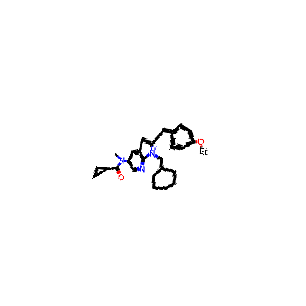 CCOc1ccc(CC2Cc3cc(N(C)C(=O)C4CC4)cnc3N2CC2CCCCC2)cc1